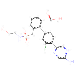 Nc1cnc(-c2ccc(-c3ccccc3CS(=O)(=O)NCCO)cc2F)cn1.O=CO